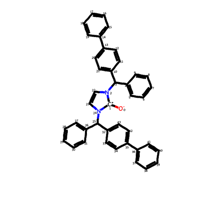 [O-][c+]1n(C(c2ccccc2)c2ccc(-c3ccccc3)cc2)ccn1C(c1ccccc1)c1ccc(-c2ccccc2)cc1